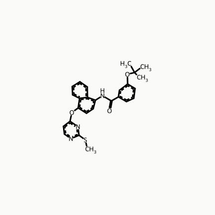 CSc1nccc(Oc2ccc(NC(=O)c3cccc(OC(C)(C)C)c3)c3ccccc23)n1